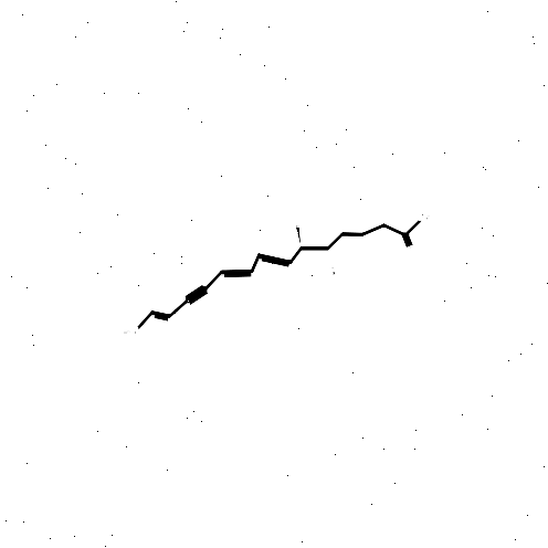 CCCCCC/C=C/C#C/C=C/C=C/[C@@H](O)[C@@H](O)CCCC(=O)N=O